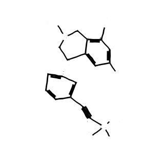 CN1Cc2c(Cl)cc(Cl)cc2[C@H](c2cccc(C#C[Si](C)(C)C)c2)C1